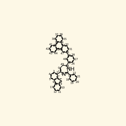 C1=C(c2cccc3c2sc2ccccc23)N=C(c2ccccc2)NC(c2cccc(-c3ccc4c5ccccc5c5ccccc5c4c3)c2)C1